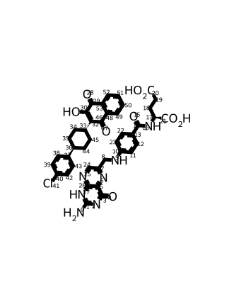 Nc1nc(=O)c2nc(CNc3ccc(C(=O)N[C@@H](CCC(=O)O)C(=O)O)cc3)cnc2[nH]1.O=C1C(O)=C([C@H]2CC[C@H](c3ccc(Cl)cc3)CC2)C(=O)c2ccccc21